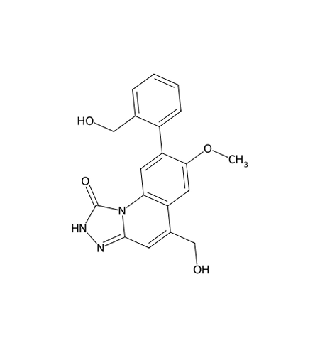 COc1cc2c(CO)cc3n[nH]c(=O)n3c2cc1-c1ccccc1CO